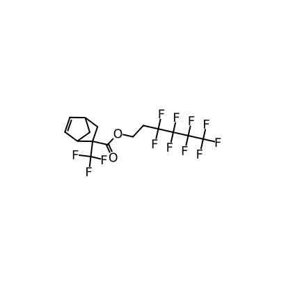 O=C(OCCC(F)(F)C(F)(F)C(F)(F)C(F)(F)F)C1(C(F)(F)F)CC2C=CC1C2